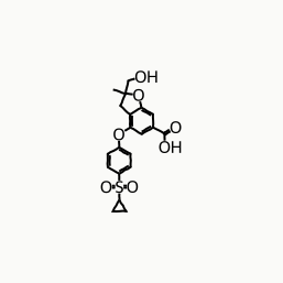 CC1(CO)Cc2c(Oc3ccc(S(=O)(=O)C4CC4)cc3)cc(C(=O)O)cc2O1